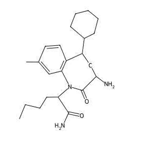 CCCCC(C(N)=O)N1C(=O)C(N)CC(C2CCCCC2)c2ccc(C)cc21